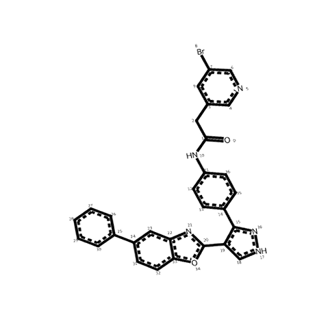 O=C(Cc1cncc(Br)c1)Nc1ccc(-c2n[nH]cc2-c2nc3cc(-c4ccccc4)ccc3o2)cc1